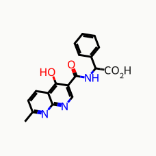 Cc1ccc2c(O)c(C(=O)NC(C(=O)O)c3ccccc3)cnc2n1